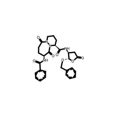 O=C1C[C@H](NC(=O)[C@@H]2CCCN3C(=O)CC[C@H](NC(=O)c4ccccc4)C(=O)N23)[C@@H](OCc2ccccc2)O1